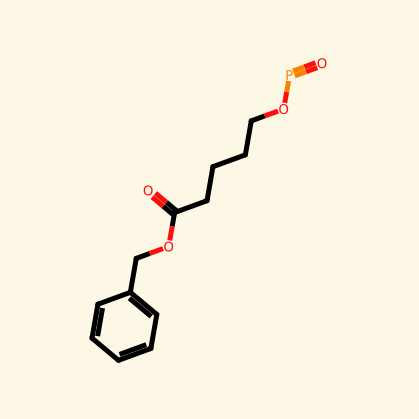 O=POCCCCC(=O)OCc1ccccc1